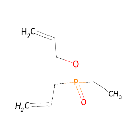 C=CCOP(=O)(CC)CC=C